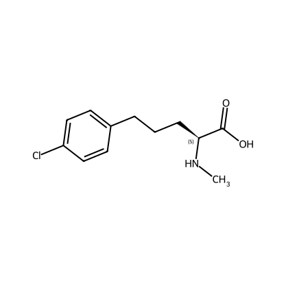 CN[C@@H](CCCc1ccc(Cl)cc1)C(=O)O